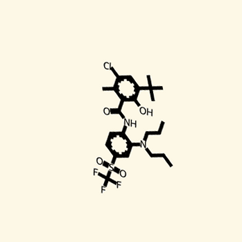 CCCN(CCC)c1cc(S(=O)(=O)C(F)(F)F)ccc1NC(=O)c1c(C)c(Cl)cc(C(C)(C)C)c1O